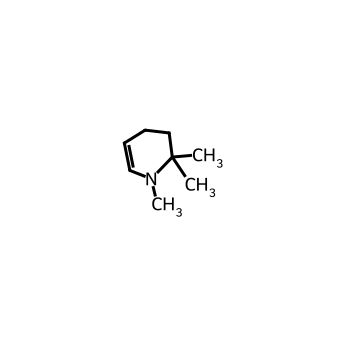 CN1C=CCCC1(C)C